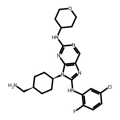 NC[C@H]1CC[C@@H](n2c(Nc3cc(Cl)ccc3F)nc3cnc(NC4CCOCC4)nc32)CC1